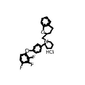 Cl.Fc1ccc(Oc2ccc(C3CCCCN3CC3CCc4ccccc4O3)cc2)c(F)c1F